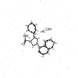 Cl.Cl.NC(=O)C1CN(c2cccc3cnccc23)CC1c1ccccc1